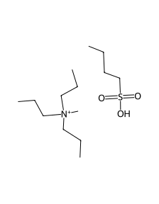 CCCCS(=O)(=O)O.CCC[N+](C)(CCC)CCC